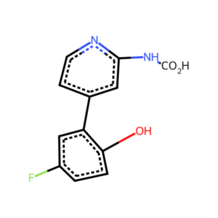 O=C(O)Nc1cc(-c2cc(F)ccc2O)ccn1